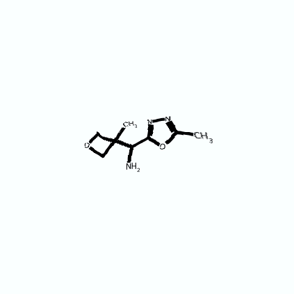 Cc1nnc(C(N)C2(C)COC2)o1